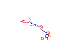 C=CC(=O)N1CCC(N2CCN(C(=O)CNc3cc(Cl)c(C)cc3O)CC2)C1